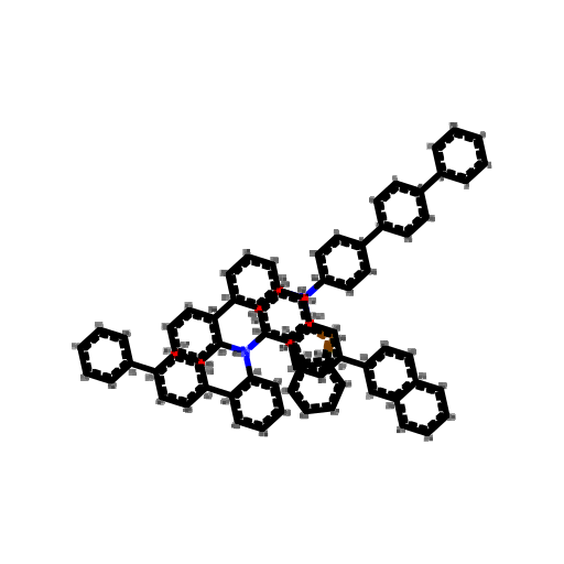 c1ccc(-c2ccc(-c3ccc(N(c4cccc(-c5ccc6ccccc6c5)c4)c4cccc(-c5ccccc5N(c5ccccc5-c5ccc(-c6ccccc6)cc5)c5cccc6sc7ccccc7c56)c4)cc3)cc2)cc1